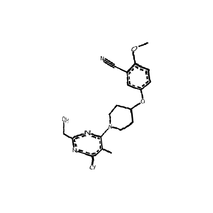 COc1ccc(OC2CCN(c3nc(CO)nc(Cl)c3C)CC2)cc1C#N